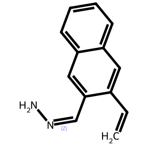 C=Cc1cc2ccccc2cc1/C=N\N